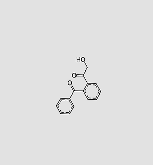 O=C(CO)c1ccccc1C(=O)c1ccccc1